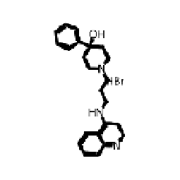 Br.OC1(c2ccccc2)CCN(CCCNC2=c3ccccc3=NCC2)CC1